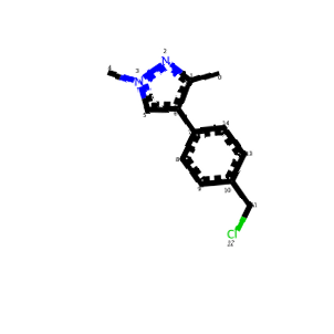 Cc1nn(C)cc1-c1ccc(CCl)cc1